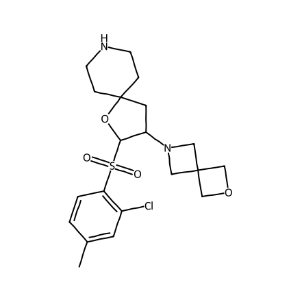 Cc1ccc(S(=O)(=O)C2OC3(CCNCC3)CC2N2CC3(COC3)C2)c(Cl)c1